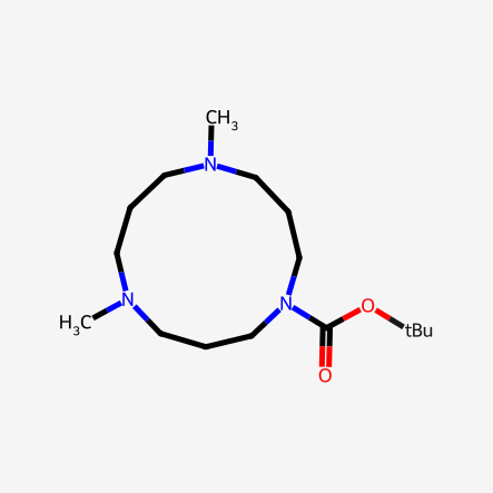 CN1CCCN(C)CCCN(C(=O)OC(C)(C)C)CCC1